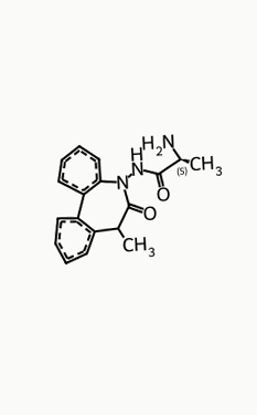 CC1C(=O)N(NC(=O)[C@H](C)N)c2ccccc2-c2ccccc21